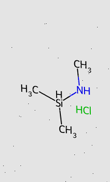 CN[SiH](C)C.Cl